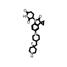 O=C1CCC(N2C(=O)C3(CC3)c3cc(N4CCC(CC5(F)CCNCC5)CC4)ccc32)C(=O)N1